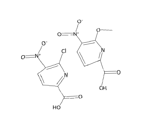 COc1nc(C(=O)O)ccc1[N+](=O)[O-].O=C(O)c1ccc([N+](=O)[O-])c(Cl)n1